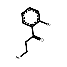 CC(=O)CCC(=O)c1ccccc1Br